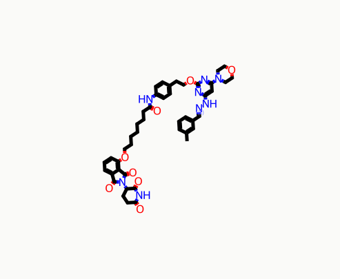 Cc1cccc(/C=N/Nc2cc(N3CCOCC3)nc(OCCc3ccc(NC(=O)CCCCCCCOc4cccc5c4C(=O)N(C4CCC(=O)NC4=O)C5=O)cc3)n2)c1